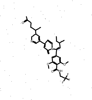 C=C1C=C(C2=CC(C(C)CCC(C)=O)CN=C2)C=CN1/C(=C\C(C)CC)c1cc(OC)c(C(=O)NCC(F)(F)F)c(OC)c1